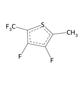 Cc1sc(C(F)(F)F)c(F)c1F